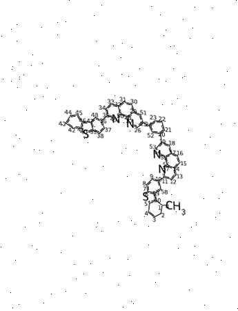 CC1CC=Cc2sc3ccc(-c4ccc5ccc6cc(-c7cccc(-c8cnc9c(ccc%10ccc(-c%11ccc%12sc%13ccccc%13c%12c%11)nc%109)c8)c7)cnc6c5n4)cc3c21